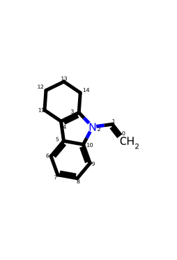 C=Cn1c2c(c3ccccc31)CCCC2